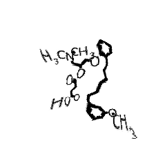 COc1cccc(CCCCCCc2ccccc2OCC(CN(C)C)OC(=O)CCC(=O)O)c1